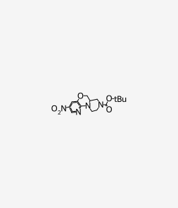 CC(C)(C)OC(=O)N1CCN2c3ncc([N+](=O)[O-])cc3OCC2C1